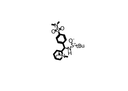 CN1CC2CCC1([C@H](N[S@+]([O-])C(C)(C)C)c1ccc(S(=O)(=O)N(C)C)cc1)CC2